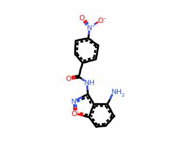 Nc1cccc2onc(NC(=O)c3ccc([N+](=O)[O-])cc3)c12